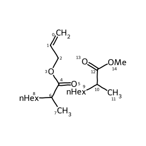 C=CCOC(=O)C(C)CCCCCC.CCCCCCC(C)C(=O)OC